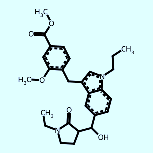 CCCn1cc(Cc2ccc(C(=O)OC)cc2OC)c2cc(C(O)C3CCN(CC)C3=O)ccc21